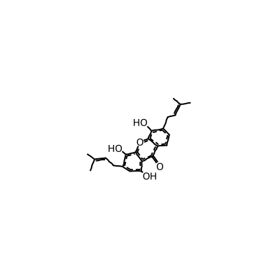 CC(C)=CCc1ccc2c(=O)c3c(O)cc(CC=C(C)C)c(O)c3oc2c1O